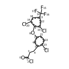 O=C(Cl)CCc1cc(Oc2c(Cl)cc(C(F)(F)F)cc2Cl)ccc1Cl